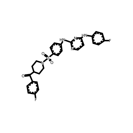 O=C(c1ccc(F)cc1)C1CCN(S(=O)(=O)c2ccc(Nc3nccc(Nc4ccc(F)cc4)n3)cc2)CC1